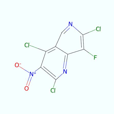 O=[N+]([O-])c1c(Cl)nc2c(F)c(Cl)ncc2c1Cl